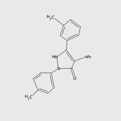 CCCc1c(-c2cccc(C)c2)[nH]n(-c2ccc(C)cc2)c1=O